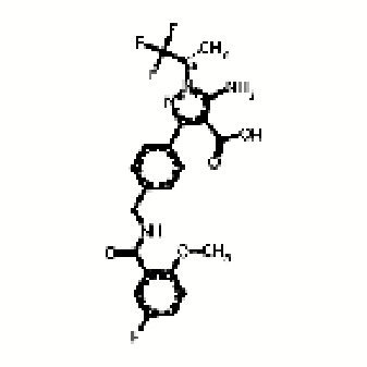 COc1ccc(F)cc1C(=O)NCc1ccc(-c2nn([C@@H](C)C(F)(F)F)c(N)c2C(=O)O)cc1